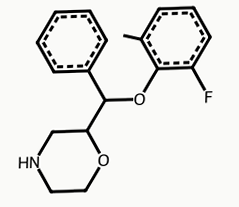 Cc1cccc(F)c1OC(c1ccccc1)C1CNCCO1